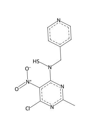 Cc1nc(Cl)c([N+](=O)[O-])c(N(S)Cc2ccncc2)n1